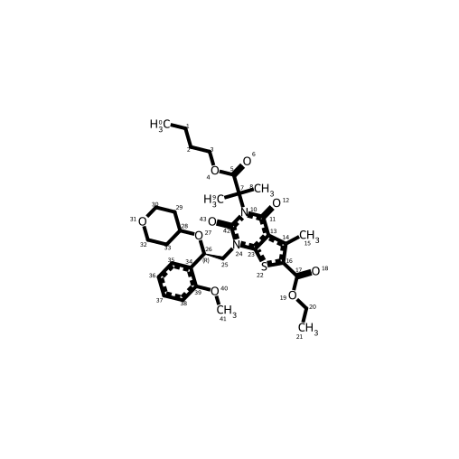 CCCCOC(=O)C(C)(C)n1c(=O)c2c(C)c(C(=O)OCC)sc2n(C[C@H](OC2CCOCC2)c2ccccc2OC)c1=O